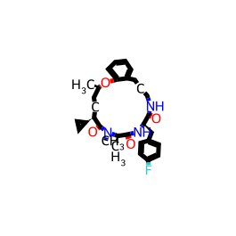 C[C@@H]1CC[C@@H](C2CC2)C(=O)N(C)[C@H](C)C(=O)N[C@H](Cc2ccc(F)cc2)C(=O)NCCCc2ccccc2O1